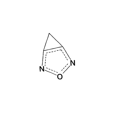 C1c2nonc21